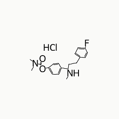 CNC(CCc1ccc(F)cc1)c1ccc(OC(=O)N(C)C)cc1.Cl